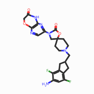 Nc1cc(F)c2c(c1F)CC(CN1CCC3(CC1)CN(c1cnc4c(n1)NC(=O)CO4)C(=O)O3)C2